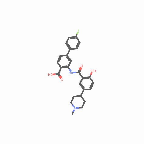 CN1CCC(c2ccc(O)c(C(=O)Nc3cc(-c4ccc(F)cc4)ccc3C(=O)O)c2)CC1